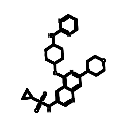 O=S(=O)(Nc1cnc2cc(N3CCOCC3)nc(OC3CCC(Nc4ncccn4)CC3)c2c1)C1CC1